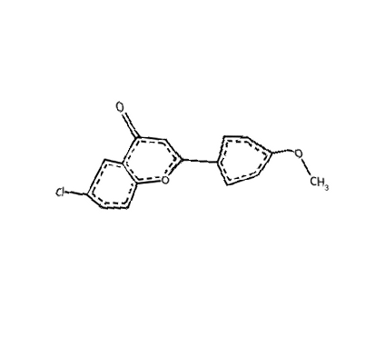 COc1ccc(-c2cc(=O)c3cc(Cl)ccc3o2)cc1